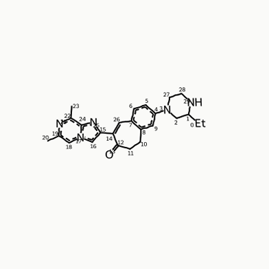 CCC1CN(c2ccc3c(c2)CCC(=O)C(c2cn4cc(C)nc(C)c4n2)=C3)CCN1